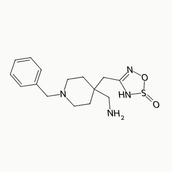 NCC1(CC2=NOS(=O)N2)CCN(Cc2ccccc2)CC1